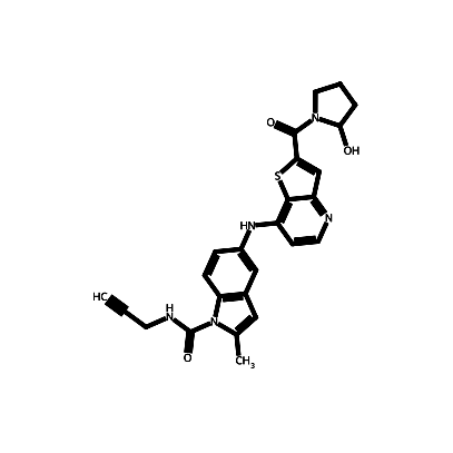 C#CCNC(=O)n1c(C)cc2cc(Nc3ccnc4cc(C(=O)N5CCCC5O)sc34)ccc21